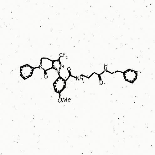 COc1ccc(-n2nc(C(F)(F)F)c3c2C(=O)N(c2ccccc2)CC3)c(C(=O)NCCCC(=O)NCCc2ccccc2)c1